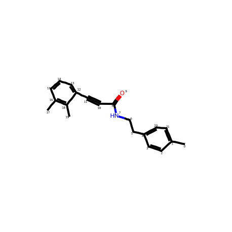 Cc1ccc(CCNC(=O)C#Cc2cccc(C)c2C)cc1